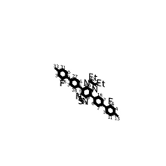 CCc1nc2c(-c3ccc(-c4ccc(C)cc4F)cc3)c3nsnc3c(-c3ccc(-c4ccc(C)cc4F)cc3)c2nc1CC